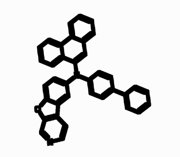 c1ccc(-c2ccc(N(c3ccc4oc5cnccc5c4c3)c3cc4ccccc4c4ccccc34)cc2)cc1